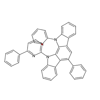 c1ccc(-c2ccnc(-n3c4ccccc4c4c(-c5ccccc5)cc5c6ccccc6n(-c6ccccc6)c5c43)n2)cc1